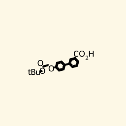 CC(C)(C)OC(=O)COc1ccc(-c2cccc(C(=O)O)c2)cc1